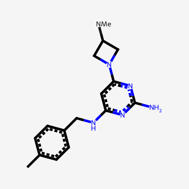 CNC1CN(c2cc(NCc3ccc(C)cc3)nc(N)n2)C1